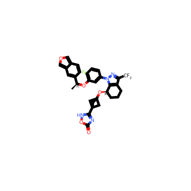 C[C@H](Oc1cc(-n2nc(C(F)(F)F)c3c2[C@H](OC24CC(c5nc(=O)o[nH]5)(C2)C4)CCC3)ccc1F)c1ccc2cocc2c1